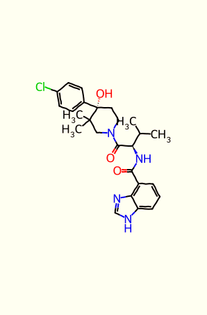 CC(C)[C@@H](NC(=O)c1cccc2[nH]cnc12)C(=O)N1CC[C@](O)(c2ccc(Cl)cc2)C(C)(C)C1